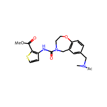 COC(=O)c1sccc1NC(=O)N1CCOc2ccc(CN(C)C(C)=O)cc2C1